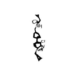 O=C(CC1CC1)NCc1ccc(-c2ccc3c(nnn3CC3CC3)c2Cl)cc1